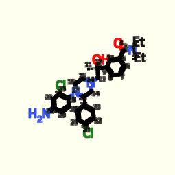 CCN(CC)C(=O)c1cccc([C@](C)(O)CN2CCN(c3ccc(N)cc3Cl)[C@H](c3ccc(Cl)cc3)C2)c1